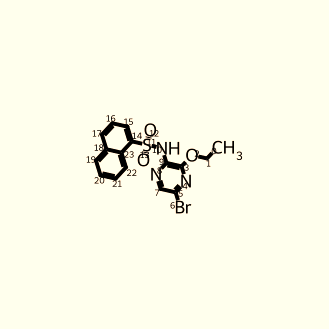 CCOc1nc(Br)cnc1NS(=O)(=O)c1cccc2ccccc12